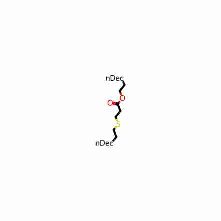 CCCCCCCCCCCCOC(=O)CCSCCCCCCCCCCCC